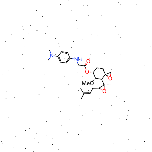 CO[C@@H]1[C@H](OC(=O)CNc2ccc(N(C)C)cc2)CC[C@]2(CO2)[C@H]1[C@@]1(C)OC1CC=C(C)C